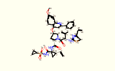 C=C[C@@H]1C[C@]1(NC(=O)[C@@H]1C[C@@H](Oc2cc(-c3ccccc3)nc3cc(OC)ccc23)CN1C(=O)[C@@H](Nc1nc(CC)cs1)C(=C)C)C(=O)NS(=O)(=O)C1CC1